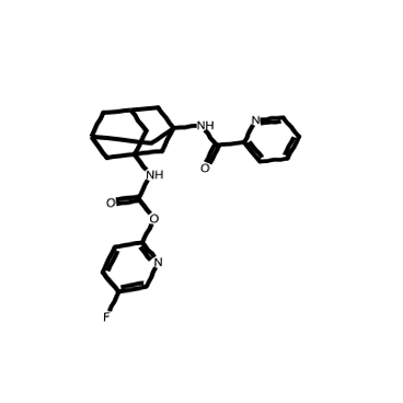 O=C(NC12CC3CC(C1)CC(NC(=O)c1ccccn1)(C3)C2)Oc1ccc(F)cn1